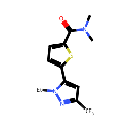 CCn1nc(C(F)(F)F)cc1-c1ccc(C(=O)N(C)C)s1